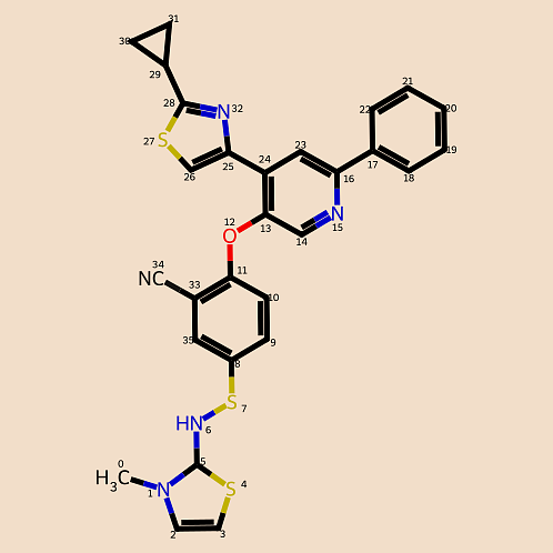 CN1C=CSC1NSc1ccc(Oc2cnc(-c3ccccc3)cc2-c2csc(C3CC3)n2)c(C#N)c1